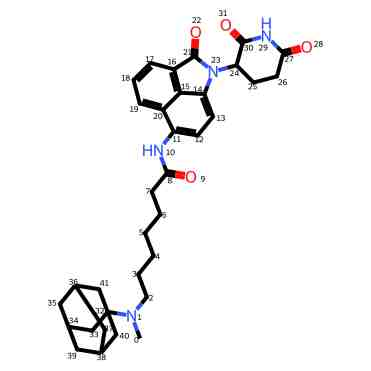 CN(CCCCCCC(=O)Nc1ccc2c3c(cccc13)C(=O)N2C1CCC(=O)NC1=O)C12CC3CC(CC(C3)C1)C2